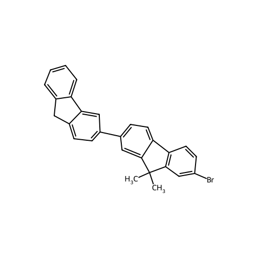 CC1(C)c2cc(Br)ccc2-c2ccc(-c3ccc4c(c3)-c3ccccc3C4)cc21